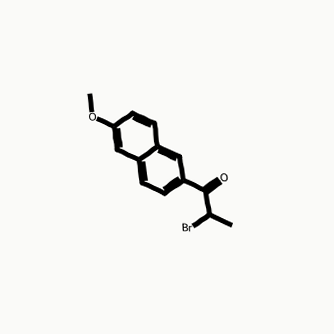 COc1ccc2cc(C(=O)C(C)Br)ccc2c1